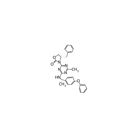 Cc1nc(N[C@@H](C)c2ccc(Oc3ccccc3)cc2)nc(N2C(=O)OC[C@@H]2Cc2ccccc2)n1